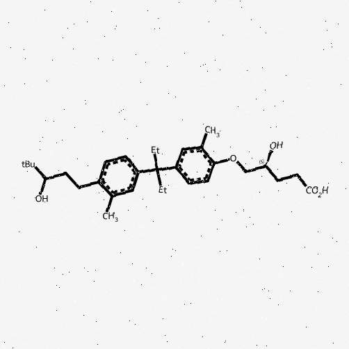 CCC(CC)(c1ccc(CCC(O)C(C)(C)C)c(C)c1)c1ccc(OC[C@@H](O)CCC(=O)O)c(C)c1